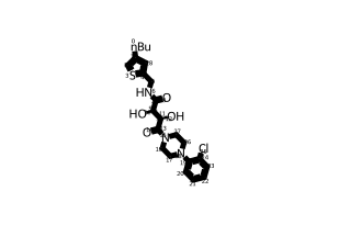 CCCCc1csc(CNC(=O)[C@H](O)[C@@H](O)C(=O)N2CCN(c3ccccc3Cl)CC2)c1